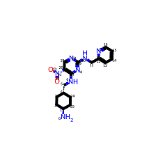 N[C@H]1CC[C@H](CNc2nc(NCc3ccccn3)ncc2[N+](=O)[O-])CC1